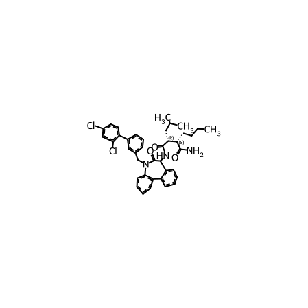 CCCC[C@H](C(N)=O)[C@@H](CC(C)C)C(=O)NC1C(=O)N(Cc2cccc(-c3ccc(Cl)cc3Cl)c2)c2ccccc2-c2ccccc21